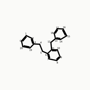 c1ccc(CCc2ccccc2Cc2ccccc2)cc1